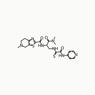 CN1CCc2nc(C(=O)NC(CNC(=S)C(=O)Nc3ccncc3)C(=O)N(C)C)sc2C1